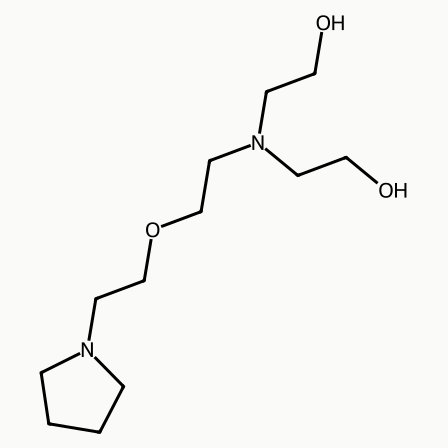 OCCN(CCO)CCOCCN1CCCC1